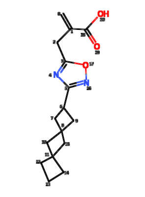 C=C(Cc1nc(C2CC3(C2)CC2(CCC2)C3)no1)C(=O)O